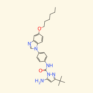 CCCCCCOc1ccc2c(c1)ncn2-c1ccc(NC(=O)n2nc(C(C)(C)C)cc2N)cc1